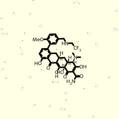 COc1ccc(CNCC(F)(F)F)cc1-c1ccc(O)c2c1C[C@H]1C[C@@H]3[C@@H](N(C)C)C(O)=C(C(N)=O)C(=O)[C@]3(O)C(O)=C1C2=O